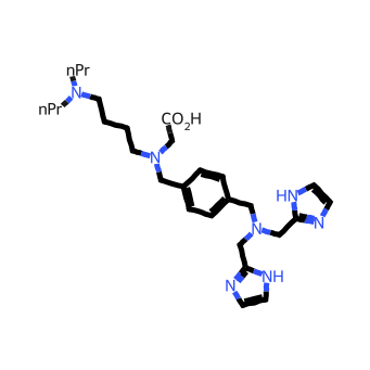 CCCN(CCC)CCCCN(CC(=O)O)Cc1ccc(CN(Cc2ncc[nH]2)Cc2ncc[nH]2)cc1